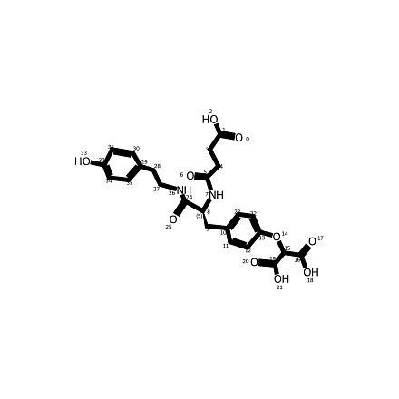 O=C(O)CCC(=O)N[C@@H](Cc1ccc(OC(C(=O)O)C(=O)O)cc1)C(=O)NCCc1ccc(O)cc1